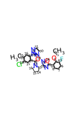 CCOc1c(F)cccc1-c1nc([C@@H]2CCCN2C(=O)c2cc(Cl)c(C)cc2-n2nccn2)no1